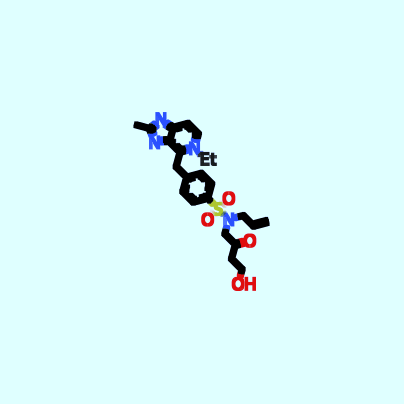 C=CCN(CC(=O)CCO)S(=O)(=O)c1ccc(Cc2c3nc(C)nc-3ccn2CC)cc1